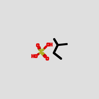 CCC(C)C.O=S(=O)(O)O